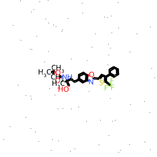 CC(C)(C)OC(=O)N[C@@](C)(CO)CCc1ccc2oc(-c3cc(-c4ccccc4)c(C(F)(F)F)s3)nc2c1